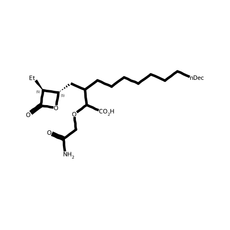 CCCCCCCCCCCCCCCCCC(C[C@@H]1OC(=O)[C@H]1CC)C(OCC(N)=O)C(=O)O